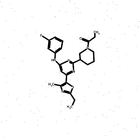 CCC(=O)N1CCCC(c2nc(Nc3cccc(F)c3)cc(-c3sc(CC)nc3C)n2)C1